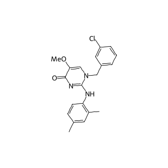 COc1cn(Cc2cccc(Cl)c2)c(Nc2ccc(C)cc2C)nc1=O